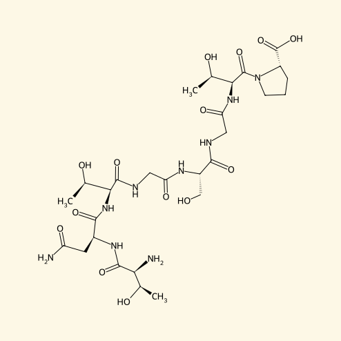 C[C@@H](O)[C@H](N)C(=O)N[C@@H](CC(N)=O)C(=O)N[C@H](C(=O)NCC(=O)N[C@@H](CO)C(=O)NCC(=O)N[C@H](C(=O)N1CCC[C@H]1C(=O)O)[C@@H](C)O)[C@@H](C)O